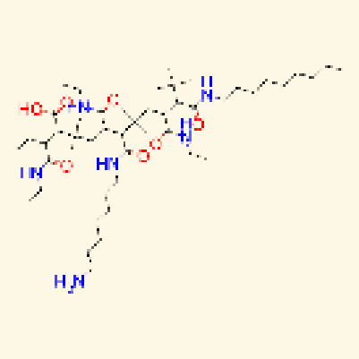 CCCCCCCCCNC(=O)C(C(CC(C)(C)C(C(=O)NCCCCCCCN)C(CC(C)(C)C(C(=O)O)C(CC)C(=O)NCC)C(=O)NCC)C(=O)NCC)C(C)(C)C